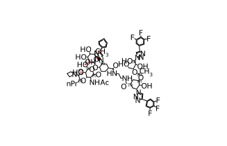 CCC[C@H](OC1C(NC(C)=O)[C@H](OC2CC(C(=O)NCCNC(=O)[C@H]3CC(n4cc(-c5cc(F)c(F)c(F)c5)nn4)C(O)[C@H](O[C@@H](C)OC(CO)C(O)[C@H](O)n4cc(-c5cc(F)c(F)c(F)c5)nn4)C3)C[C@@H](n3cc(-c4ccccc4)nn3)C2OC2OC(C)C(O)C(O)C2O)O[C@@H](CO)C1O)C(=O)N1CCC1